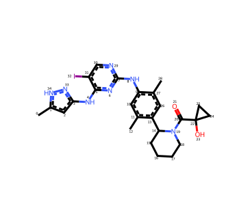 Cc1cc(Nc2nc(Nc3cc(C)c(C4CCCCN4C(=O)C4(O)CC4)cc3C)ncc2I)n[nH]1